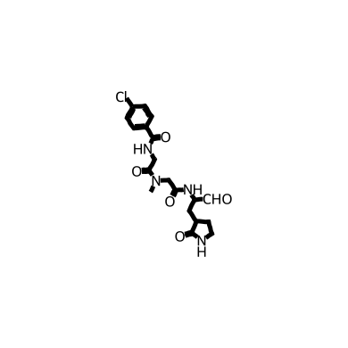 CN(CC(=O)NC(C=O)CC1CCNC1=O)C(=O)CNC(=O)c1ccc(Cl)cc1